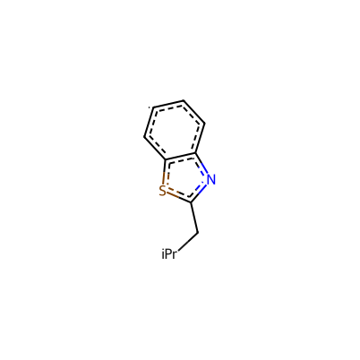 CC(C)Cc1nc2cc[c]cc2s1